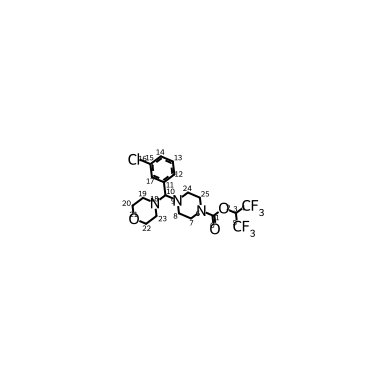 O=C(OC(C(F)(F)F)C(F)(F)F)N1CCN(C(c2cccc(Cl)c2)N2CCOCC2)CC1